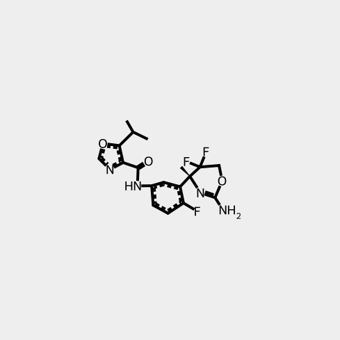 CC(C)c1ocnc1C(=O)Nc1ccc(F)c([C@@]2(C)N=C(N)OCC2(F)F)c1